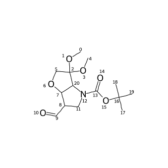 COC1(OC)COC2C(C=O)CN(C(=O)OC(C)(C)C)C21